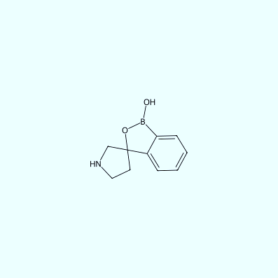 OB1OC2(CCNC2)c2ccccc21